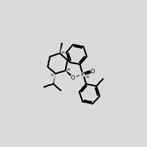 Cc1ccccc1[P@@](=O)(O[C@@H]1C[C@H](C)CC[C@H]1C(C)C)c1ccccc1